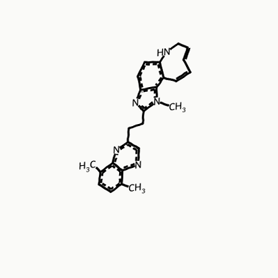 Cc1ccc(C)c2nc(CCc3nc4ccc5c(c4n3C)/C=C\C=C\CN5)cnc12